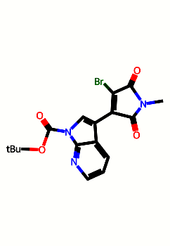 CN1C(=O)C(Br)=C(c2cn(C(=O)OC(C)(C)C)c3ncccc23)C1=O